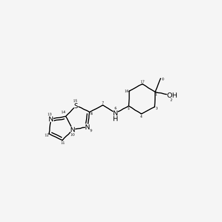 CC1(O)CCC(NCc2nn3ccnc3s2)CC1